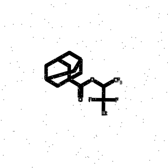 CCC(F)(F)C(OC(=O)C12CC3CC(CC(C3)C1)C2)C(F)(F)F